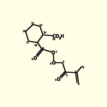 C=C(C)C(=O)COOC(=O)C1CCCCC1C(=O)O